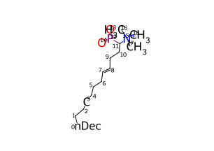 CCCCCCCCCCCCCCCCC=CCCC(P(=O)=O)[N+](C)(C)C